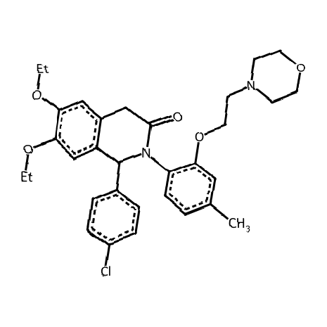 CCOc1cc2c(cc1OCC)C(c1ccc(Cl)cc1)N(c1ccc(C)cc1OCCN1CCOCC1)C(=O)C2